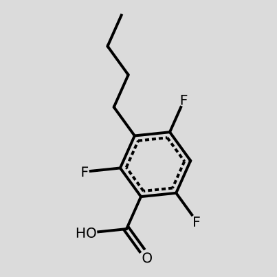 CCCCc1c(F)cc(F)c(C(=O)O)c1F